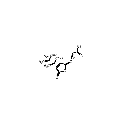 C=CC(=O)[O-].C=CC(N)=O.C=COC(C)=O.O=C1C=CC(=O)O1.[Na+]